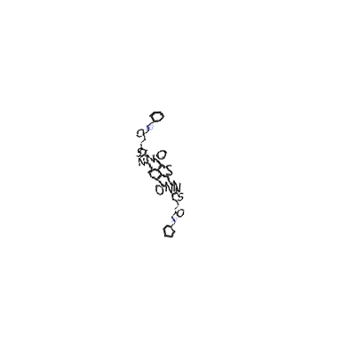 O=C(/C=C/c1ccccc1)CCc1cc2c(nc3c4ccc5c(=O)n6c7cc(CCC(=O)/C=C/c8ccccc8)sc7nc6c6sc(c(=O)n23)c4c56)s1